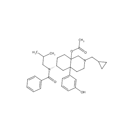 CC(=O)OC12CC[C@@H](N(CC(C)C)C(=O)c3ccccc3)CC1(c1cccc(O)c1)CCN(CC1CC1)C2